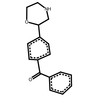 O=C(c1ccccc1)c1ccc(C2CNCCO2)cc1